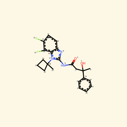 CC(O)(CC(=O)Nc1nc2ccc(F)c(F)c2n1C1(C)CCC1)c1ccccc1